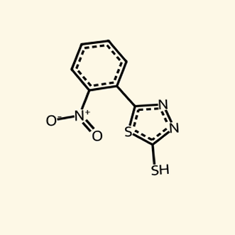 O=[N+]([O-])c1ccccc1-c1nnc(S)s1